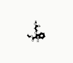 CCOC(=O)c1[nH]c2ccccc2c1OCCC(=O)OC